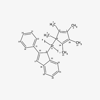 CC1=C(C)[C](C)([Zr]([I])([I])[CH]2C(c3ccccc3)=Cc3ccccc32)C(C)=C1C